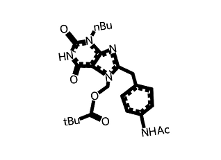 CCCCn1c(=O)[nH]c(=O)c2c1nc(Cc1ccc(NC(C)=O)cc1)n2COC(=O)C(C)(C)C